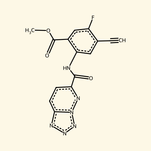 C#Cc1cc(NC(=O)c2ccc3nnnn3n2)c(C(=O)OC)cc1F